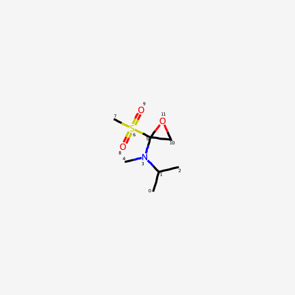 CC(C)N(C)C1(S(C)(=O)=O)CO1